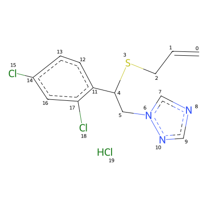 C=CCSC(Cn1cncn1)c1ccc(Cl)cc1Cl.Cl